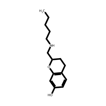 CCCCCNCC1CCc2ccc(O)cc2O1